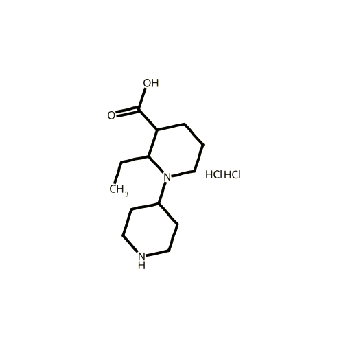 CCC1C(C(=O)O)CCCN1C1CCNCC1.Cl.Cl